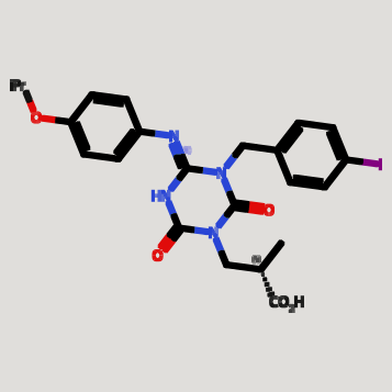 CC(C)Oc1ccc(/N=c2\[nH]c(=O)n(C[C@H](C)C(=O)O)c(=O)n2Cc2ccc(I)cc2)cc1